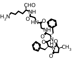 C[C@H]1CC(=O)N([C@@H](Cc2ccccc2)C(=O)N[C@@H](Cc2ccccc2)C(=O)NCC(=O)NCC(=O)N[C@H](C=O)CCCCN)C1=O